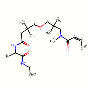 CC(C)C(NC(=O)CC(C)(C)COCC(C)(C)CN(C)C(=O)/C=C\C=O)C(=O)NCC=O